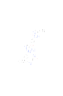 COc1ccc(Cn2nc(NC3CCN(C(=O)C=CCN(C)C4CC4)C3)c3c(Oc4ccc(C(=O)Nc5cc(C#N)ccn5)cc4)ccnc32)cc1